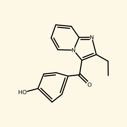 CCc1nc2ccccn2c1C(=O)c1ccc(O)cc1